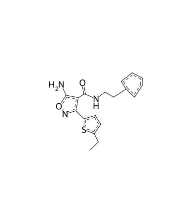 CCc1ccc(-c2noc(N)c2C(=O)NCCc2ccccc2)s1